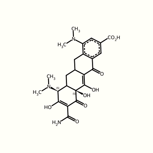 CN(C)c1cc(C(=O)O)cc2c1CC1CC3[C@H](N(C)C)C(O)=C(C(N)=O)C(=O)[C@@]3(O)C(O)=C1C2=O